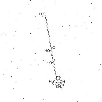 CCCCCCCCCCCCCCCCCC(=O)C(O)CSCCOC(=O)CCCCCCc1ccc(O)c(C(C)(C)CC)c1